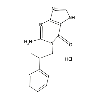 CC(Cn1c(N)nc2nc[nH]c2c1=O)c1ccccc1.Cl